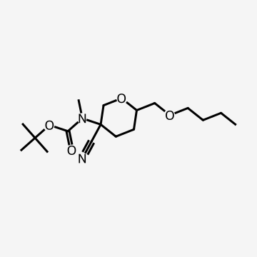 CCCCOCC1CCC(C#N)(N(C)C(=O)OC(C)(C)C)CO1